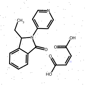 CCC1c2ccccc2C(=O)N1c1ccncc1.O=C(O)/C=C\C(=O)O